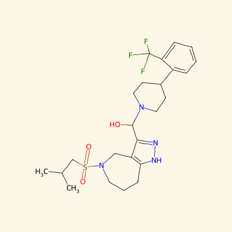 CC(C)CS(=O)(=O)N1CCCc2[nH]nc(C(O)N3CCC(c4ccccc4C(F)(F)F)CC3)c2C1